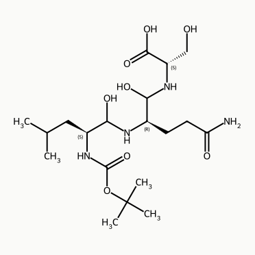 CC(C)C[C@H](NC(=O)OC(C)(C)C)C(O)N[C@H](CCC(N)=O)C(O)N[C@@H](CO)C(=O)O